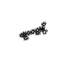 C1=CCC(c2nc(-c3ccccc3)nc(-c3ccc(-c4ccc(-c5ccc(-c6nc7ccccc7n6C6C=CC=CC6)cc5)cc4)c4ccccc34)n2)C=C1